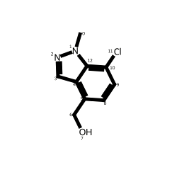 Cn1ncc2c(CO)ccc(Cl)c21